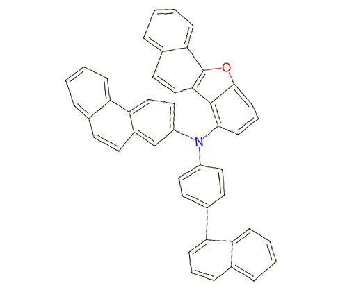 c1ccc2c(-c3ccc(N(c4ccc5c(ccc6ccccc65)c4)c4cccc5oc6c7ccccc7ccc6c45)cc3)cccc2c1